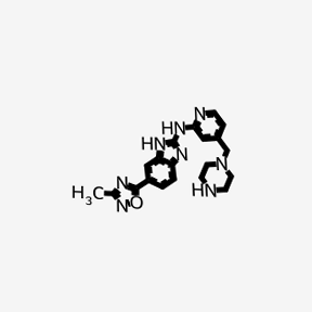 Cc1noc(-c2ccc3nc(Nc4cc(CN5CCNCC5)ccn4)[nH]c3c2)n1